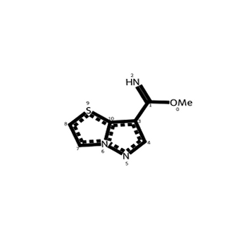 COC(=N)c1cnn2ccsc12